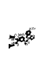 COc1ccc(CN(c2nncn2C2CCc3sc(NC(=O)C4CC4)c(C(=O)NCC4CC4)c3C2)C2CCOC2)c(OC)c1